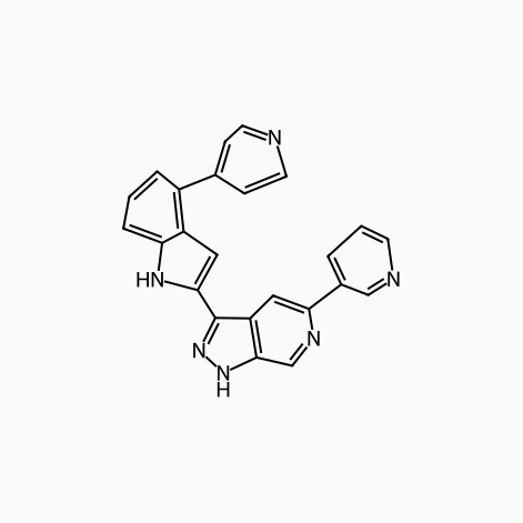 c1cncc(-c2cc3c(-c4cc5c(-c6ccncc6)cccc5[nH]4)n[nH]c3cn2)c1